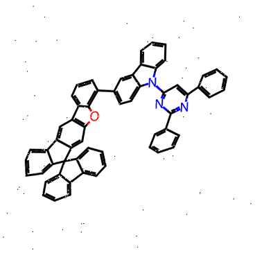 c1ccc(-c2cc(-n3c4ccccc4c4cc(-c5cccc6c5oc5cc7c(cc56)-c5ccccc5C75c6ccccc6-c6ccccc65)ccc43)nc(-c3ccccc3)n2)cc1